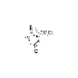 CCOC(=O)c1cc(Cl)cnc1N